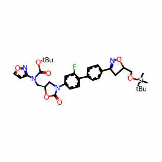 CC(C)(C)OC(=O)N(C[C@H]1CN(c2ccc(-c3ccc(C4=NOC(CO[Si](C)(C)C(C)(C)C)C4)cc3)c(F)c2)C(=O)O1)c1ccon1